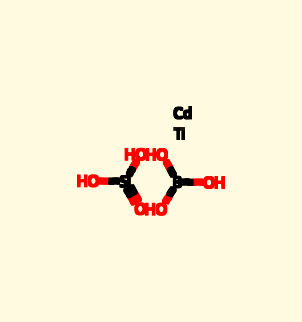 O=[Si](O)O.OB(O)O.[Cd].[Ti]